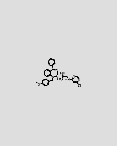 COc1ccc(CN2C(=O)[C@@H](NC(=O)CNc3cc(Cl)ncn3)N=C(c3ccccc3)c3ccccc32)cc1